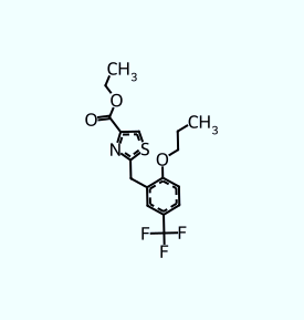 CCCOc1ccc(C(F)(F)F)cc1Cc1nc(C(=O)OCC)cs1